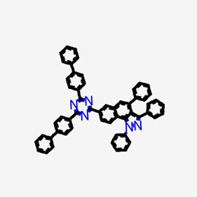 c1ccc(-c2ccc(-c3nc(-c4ccc(-c5ccccc5)cc4)nc(-c4ccc5c(c4)cc(-c4ccccc4)c4c(-c6ccccc6)nn(-c6ccccc6)c45)n3)cc2)cc1